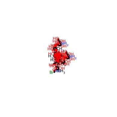 CC1C(O)[C@H](O[C@@H]2OC(CO[C@]3(C(=O)O)C[C@@H](O)[C@@H](N)C([C@H](O)C(O)CO)O3)[C@H](O)C(O)[C@@H]2O)[C@H](CO)O[C@H]1O[C@@H]1C(O)[C@H](O)C(CO)O[C@@H]1OCC1O[C@@H](O[C@@H]2C(CO)O[C@@H](O[C@@H]3C(CO)O[C@@H](NC(=O)CBr)[C@@H](C)C3O)[C@@H](C)C2O)[C@H](O)C(O[C@H]2O[C@H](CO)[C@@H](O)C(O)C2O[C@@H]2OC(CO)[C@@H](O[C@@H]3OC(C)[C@H](C(O)O[C@]4(C(=O)O)C[C@@H](O)[C@@H](N)C([C@H](O)C(O)CO)O4)C(O)[C@@H]3O)C(O)[C@@H]2C)[C@@H]1O